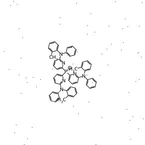 Cc1ccccc1N(c1ccccc1)c1cccc(P(=O)(c2cccc(N(c3ccccc3)c3ccccc3C)n2)c2cccc(N(c3ccccc3)c3ccccc3C)n2)n1